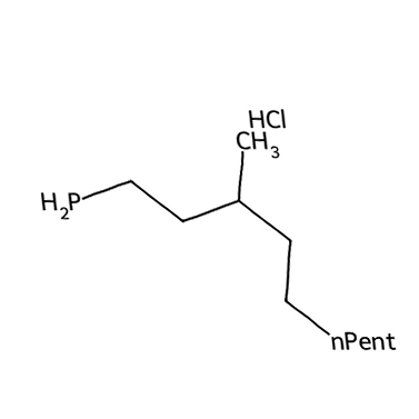 CCCCCCCC(C)CCP.Cl